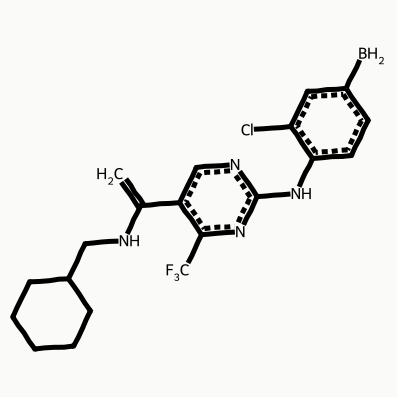 Bc1ccc(Nc2ncc(C(=C)NCC3CCCCC3)c(C(F)(F)F)n2)c(Cl)c1